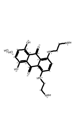 CNCCNc1ccc(NCCNC)c2c1C(=O)c1c(O)ccc(O)c1C2=O.Cl.Cl